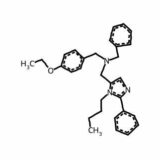 CCCCn1c(CN(Cc2ccccc2)Cc2ccc(OCC)cc2)cnc1-c1ccccc1